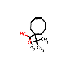 CC(C)(C)C1(C(=O)O)CCC=CCCC1